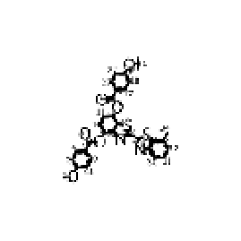 COc1ccc(C(=O)Oc2ccc(OC(=O)c3ccc(OI)cc3)c3sc(-c4nc5cccc(C)c5s4)nc23)cc1